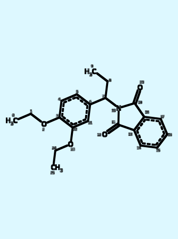 CCOc1ccc(C(CC)N2C(=O)c3ccccc3C2=O)cc1OCC